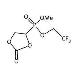 COP(=O)(OCC(F)(F)F)C1COC(=O)O1